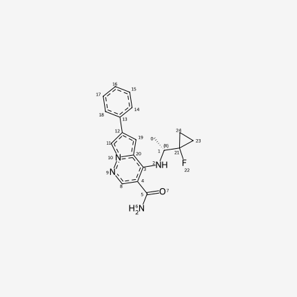 C[C@@H](Nc1c(C(N)=O)cnn2cc(-c3ccccc3)cc12)C1(F)CC1